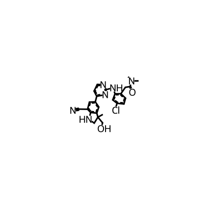 CN(C)C(=O)Cc1ccc(Cl)cc1Nc1nccc(-c2cc(C#N)c3c(c2)C(C)(CO)CN3)n1